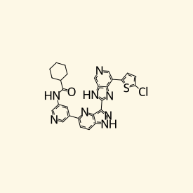 O=C(Nc1cncc(-c2ccc3[nH]nc(-c4nc5c(-c6ccc(Cl)s6)cncc5[nH]4)c3n2)c1)C1CCCCC1